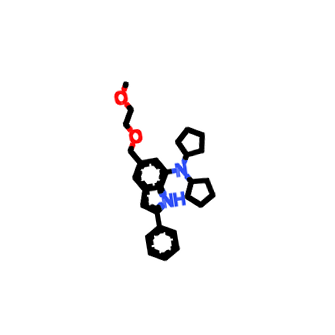 COCCOCc1cc(N(C2CCCC2)C2CCCC2)c2[nH]c(-c3ccccc3)cc2c1